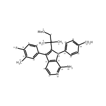 COCC(C)(C)c1c(-c2ccc(F)c(C)c2)c2ccnc(N)c2n1-c1ccc(C(=O)O)cc1